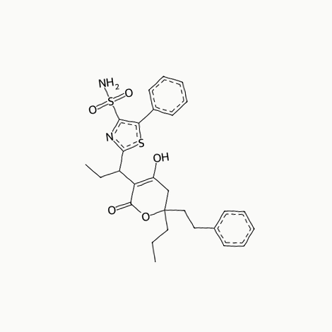 CCCC1(CCc2ccccc2)CC(O)=C(C(CC)c2nc(S(N)(=O)=O)c(-c3ccccc3)s2)C(=O)O1